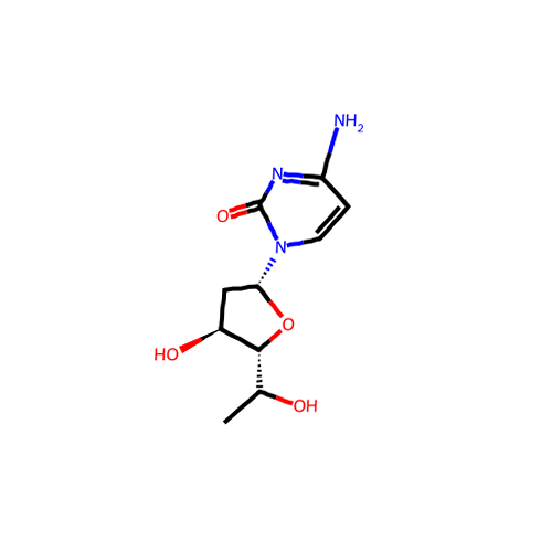 CC(O)[C@H]1O[C@@H](n2ccc(N)nc2=O)C[C@@H]1O